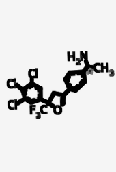 C[C@H](N)c1ccc(C2=COC(c3cc(Cl)c(Cl)c(Cl)c3)(C(F)(F)F)C2)cc1